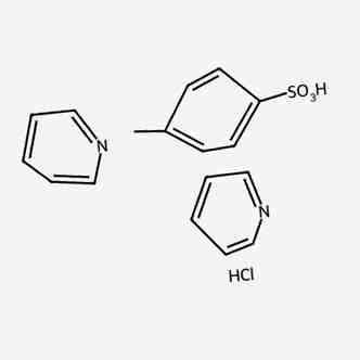 Cc1ccc(S(=O)(=O)O)cc1.Cl.c1ccncc1.c1ccncc1